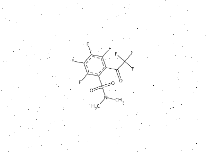 CN(C)S(=O)(=O)c1c(F)c(F)c(F)c(F)c1C(=O)C(F)(F)F